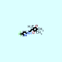 CC1=C(C)C(=O)C(CCCNc2ccc(C(F)(F)F)cn2)=C(C)C1=O